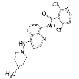 CN1CCN(Nc2ccnc3c(NC(=O)c4c(Cl)cccc4Cl)cccc23)CC1